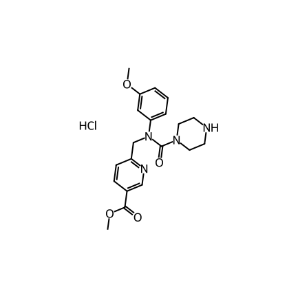 COC(=O)c1ccc(CN(C(=O)N2CCNCC2)c2cccc(OC)c2)nc1.Cl